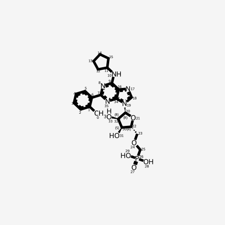 Cc1ccccc1-c1nc(NC2CCCC2)c2ncn([C@@H]3O[C@H](COCP(=O)(O)O)[C@@H](O)[C@H]3O)c2n1